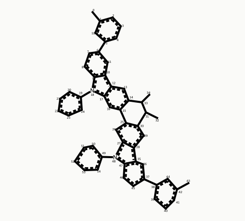 Cc1cccc(-c2ccc3c(c2)c2cc4c(cc2n3-c2ccccc2)-c2cc3c(cc2C(C)C4C)c2cc(-c4cccc(C)c4)ccc2n3-c2ccccc2)c1